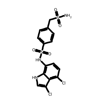 NS(=O)(=O)Cc1ccc(S(=O)(=O)Nc2ccc(Cl)c3c(Cl)c[nH]c23)cc1